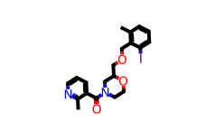 Cc1cccc(I)c1COCC1CN(C(=O)c2cccnc2C)CCO1